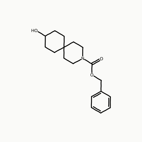 O=C(OCc1ccccc1)N1CCC2(CCC(O)CC2)CC1